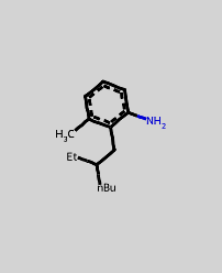 CCCCC(CC)Cc1c(C)cccc1N